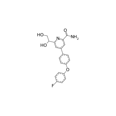 NC(=O)c1cc(-c2ccc(Oc3ccc(F)cc3)cc2)cc(C(O)CO)n1